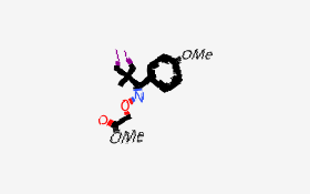 COC(=O)CON=C(c1ccc(OC)cc1)C(C)(CI)CI